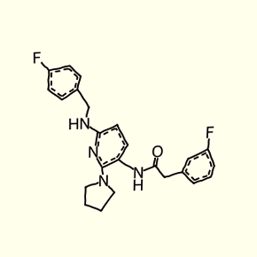 O=C(Cc1cccc(F)c1)Nc1ccc(NCc2ccc(F)cc2)nc1N1CCCC1